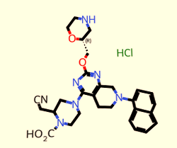 Cl.N#CCC1CN(c2nc(OC[C@H]3CNCCO3)nc3c2CCN(c2cccc4ccccc24)C3)CCN1C(=O)O